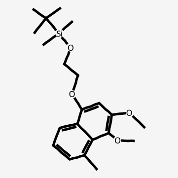 COc1cc(OCCO[Si](C)(C)C(C)(C)C)c2cccc(C)c2c1OC